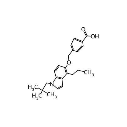 CCCc1c(OCc2ccc(C(=O)O)cc2)ccc2c1ccn2CC(C)(C)C